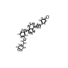 Clc1ccc(C=NNc2ncnc3c(Nc4cccc(OCCN5CCOCC5)c4)ncnc23)cc1